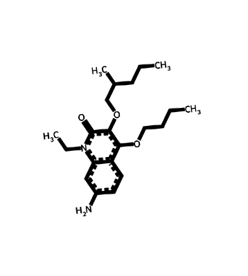 CCCCOc1c(OCC(C)CCC)c(=O)n(CC)c2cc(N)ccc12